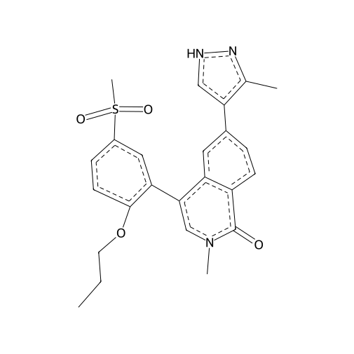 CCCOc1ccc(S(C)(=O)=O)cc1-c1cn(C)c(=O)c2ccc(-c3c[nH]nc3C)cc12